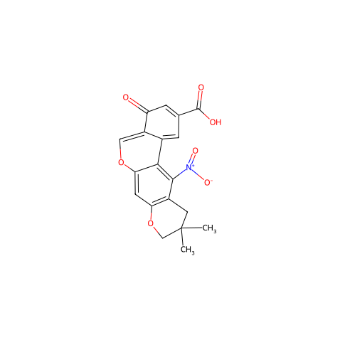 CC1(C)COc2cc3occ4c(=O)cc(C(=O)O)cc-4c3c([N+](=O)[O-])c2C1